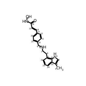 Cc1c[nH]c2c(CCNCc3ccc(/C=C/C(=O)NO)cc3)cccc12